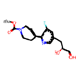 CC(C)(C)OC(=O)N1CC=C(c2ncc(C[C@H](O)CO)cc2F)CC1